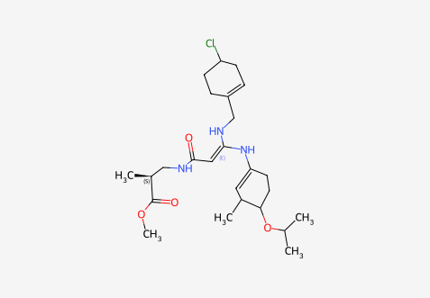 COC(=O)[C@@H](C)CNC(=O)/C=C(\NCC1=CCC(Cl)CC1)NC1=CC(C)C(OC(C)C)CC1